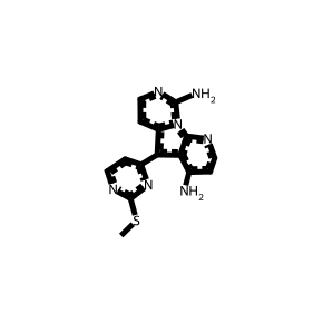 CSc1nccc(-c2c3c(N)ccnc3n3c(N)nccc23)n1